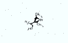 Cc1cc([C@H](C)CO)c(C)[nH]1